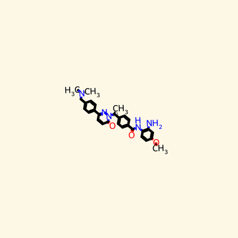 COc1ccc(NC(=O)c2ccc([C@H](C)n3nc(-c4ccc(CN(C)C)cc4)ccc3=O)cc2)c(N)c1